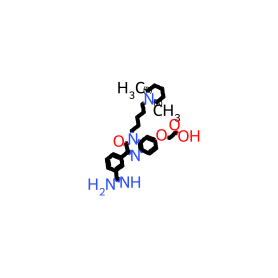 C[C@@H]1CCC[C@H](C)N1CCCCCn1c(=O)c(-c2cccc(C(=N)N)c2)nc2ccc(OCC(=O)O)cc21